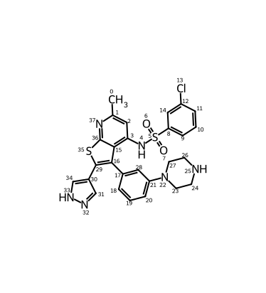 Cc1cc(NS(=O)(=O)c2cccc(Cl)c2)c2c(-c3cccc(N4CCNCC4)c3)c(-c3cn[nH]c3)sc2n1